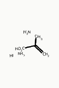 C=C(C)C(=O)O.I.N.N